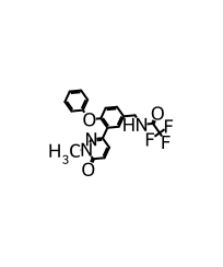 Cn1nc(-c2cc(CNC(=O)C(F)(F)F)ccc2Oc2ccccc2)ccc1=O